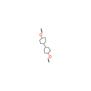 C=COC1CCC(C2CCC(OC=C)CC2)CC1